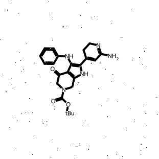 CC(C)(C)OC(=O)N1CC(=O)c2c([nH]c(C3=CC(N)=NCC3)c2NC2=C=C=CC=C2)C1